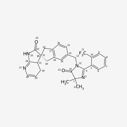 CC1(C)N=C(c2ccccc2C(F)(F)F)N(Cc2ccc3c(c2)C[C@@]2(C3)C(=O)NC3=NC=CCC32)C1=O